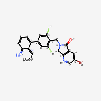 CN/C=C1\C(=N)C=CC=C1c1cc(F)c(CN2Cc3ncc(Br)cc3C2=O)c(F)c1